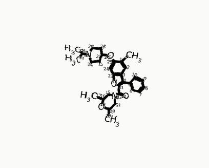 Cc1cc2c(-c3ccccc3)c(C(=O)N3CC(C)OC(C)C3)oc2cc1OC1CCN(C(C)C)CC1